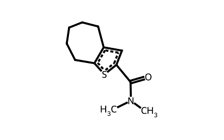 CN(C)C(=O)c1cc2c(s1)CCCCC2